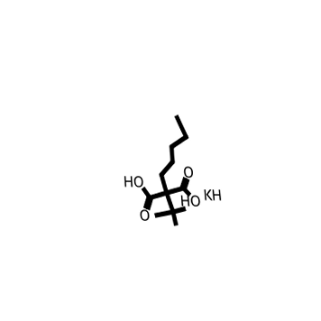 CCCCCC(C(=O)O)(C(=O)O)C(C)(C)C.[KH]